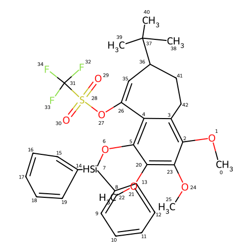 COc1c2c(c(O[SiH](c3ccccc3)c3ccccc3)c(OC)c1OC)C(OS(=O)(=O)C(F)(F)F)=CC(C(C)(C)C)CC2